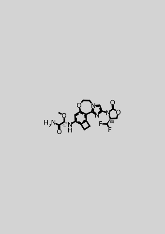 CO[C@H](Nc1cc2c(c3c1CC3)-c1nc(N3C(=O)OC[C@H]3C(F)F)cn1CCO2)C(N)=O